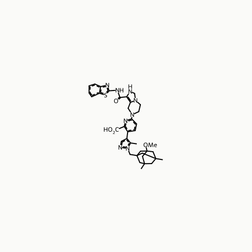 COC12CC3(C)CC(C)(CC(Cn4ncc(-c5ccc(N6CCN7CNC(C(=O)Nc8nc9ccccc9s8)=C7C6)nc5C(=O)O)c4C)(C3)C1)C2